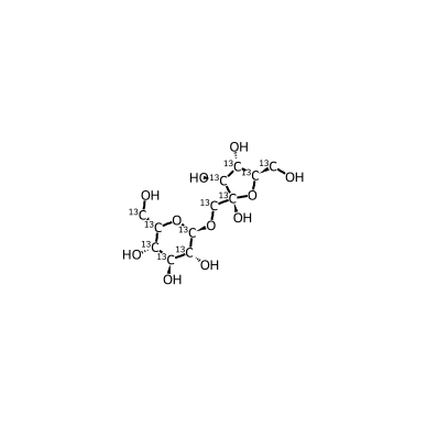 O[13CH2][13C@H]1O[13C@](O)([13CH2]O[13C@@H]2O[13C@H]([13CH2]O)[13C@@H](O)[13C@H](O)[13C@H]2O)[13C@@H](O)[13C@@H]1O